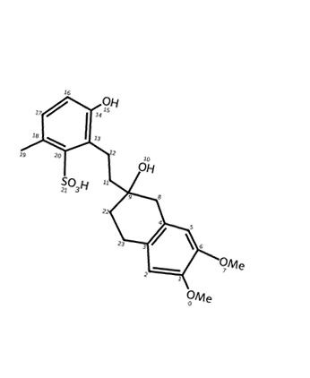 COc1cc2c(cc1OC)CC(O)(CCc1c(O)ccc(C)c1S(=O)(=O)O)CC2